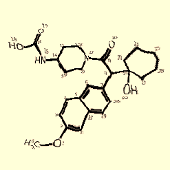 COc1ccc2cc(C(C(=O)N3CCC(NC(=O)O)CC3)C3(O)CCCCC3)ccc2c1